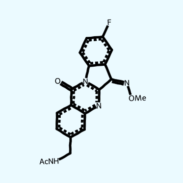 CO/N=C1/c2cc(F)ccc2-n2c1nc1cc(CNC(C)=O)ccc1c2=O